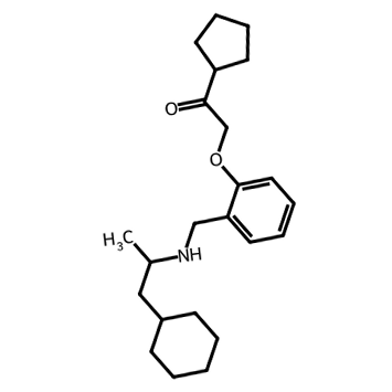 CC(CC1CCCCC1)NCc1ccccc1OCC(=O)C1CCCC1